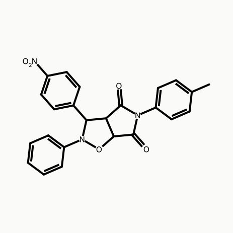 Cc1ccc(N2C(=O)C3ON(c4ccccc4)C(c4ccc([N+](=O)[O-])cc4)C3C2=O)cc1